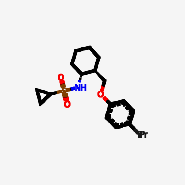 CC(C)c1ccc(OC[C@@H]2CCCC[C@H]2NS(=O)(=O)C2CC2)cc1